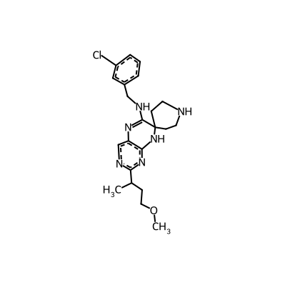 COCCC(C)c1ncc2c(n1)NC1(CCNCC1)C(NCc1cccc(Cl)c1)=N2